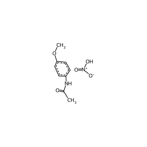 COc1ccc(NC(C)=O)cc1.O=[N+]([O-])O